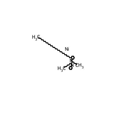 CCCCCCCCCCCCCCCCCCCCCCCC/C=C/CCc1ccccc1/N=C(CCCC)/C(CCCCCC)=N/c1ccccc1.[Ni]